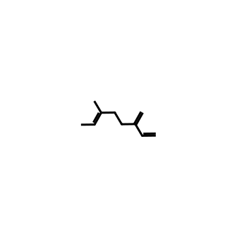 C=CC(=C)CCC(C)=CC